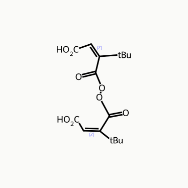 CC(C)(C)/C(=C/C(=O)O)C(=O)OOC(=O)/C(=C\C(=O)O)C(C)(C)C